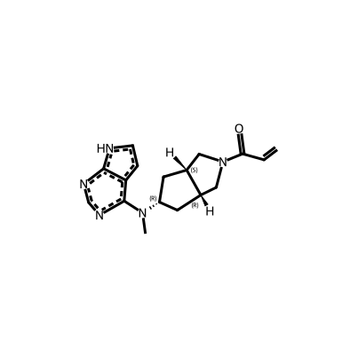 C=CC(=O)N1C[C@H]2C[C@@H](N(C)c3ncnc4[nH]ccc34)C[C@H]2C1